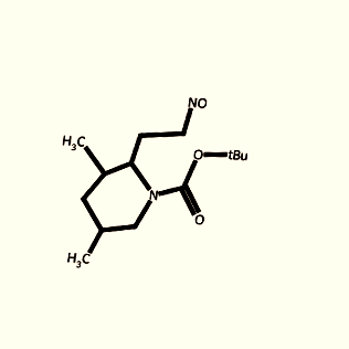 CC1CC(C)C(CCN=O)N(C(=O)OC(C)(C)C)C1